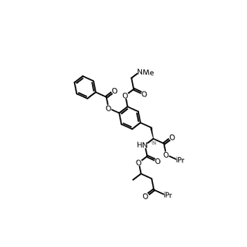 CNCC(=O)Oc1cc(C[C@H](NC(=O)OC(C)CC(=O)C(C)C)C(=O)OC(C)C)ccc1OC(=O)c1ccccc1